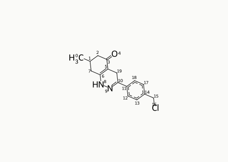 CC1CC(=O)C2=C(C1)NN=C(c1ccc(CCl)cc1)C2